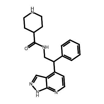 O=C(NCC(c1ccccc1)c1ccnc2[nH]ncc12)C1CCNCC1